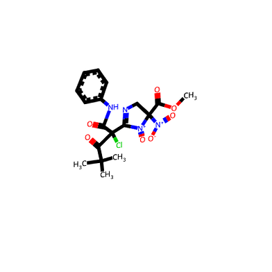 COC(=O)C1([N+](=O)[O-])CN=C(C(Cl)(C(=O)Nc2ccccc2)C(=O)C(C)(C)C)[N+]1=O